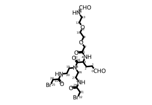 O=CCCC(NC(=O)COCCOCCNC=O)C(=O)N(CCNC(=O)CBr)CCNC(=O)CBr